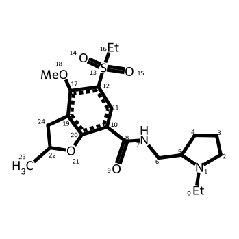 CCN1CCCC1CNC(=O)c1cc(S(=O)(=O)CC)c(OC)c2c1OC(C)C2